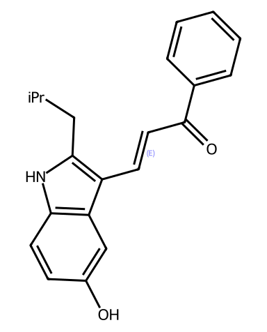 CC(C)Cc1[nH]c2ccc(O)cc2c1/C=C/C(=O)c1ccccc1